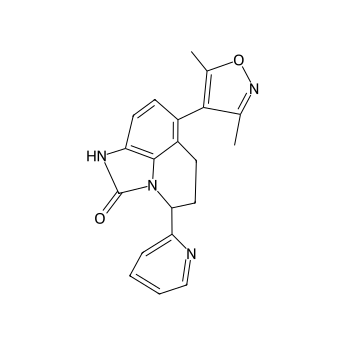 Cc1noc(C)c1-c1ccc2[nH]c(=O)n3c2c1CCC3c1ccccn1